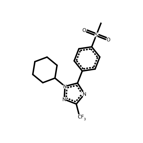 CS(=O)(=O)c1ccc(-c2nc(C(F)(F)F)nn2C2CCCCC2)cc1